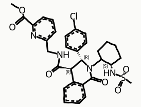 COC(=O)c1cccc(CNC(=O)[C@@H]2c3ccccc3C(=O)N(C3CCCC[C@@H]3NS(C)(=O)=O)[C@H]2c2ccc(Cl)cc2)n1